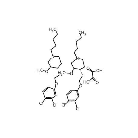 CCCCCN1CC[C@H](CCOc2ccc(Cl)c(Cl)c2)[C@@H](OC)C1.CCCCCN1CC[C@H](CCOc2ccc(Cl)c(Cl)c2)[C@@H](OC)C1.O=C(O)C(=O)O